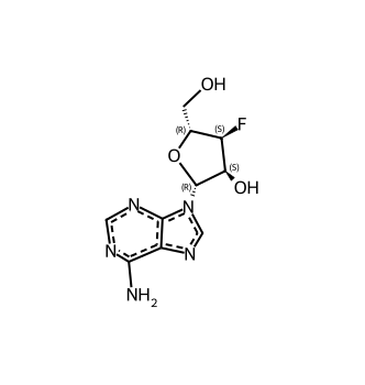 Nc1ncnc2c1ncn2[C@@H]1O[C@H](CO)[C@@H](F)[C@H]1O